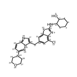 OC1CCCCC1Nc1nc2c(Cl)cc(Cc3cnc4ccc(N5CCOCC5)nn34)cc2s1